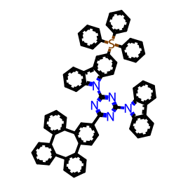 c1ccc(S(c2ccccc2)(c2ccccc2)c2ccc3c(c2)c2ccccc2n3-c2nc(-c3ccc4c(c3)-c3ccccc3-c3ccccc3-c3ccccc3-4)nc(-n3c4ccccc4c4ccccc43)n2)cc1